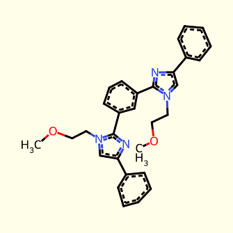 COCCn1cc(-c2ccccc2)nc1-c1cccc(-c2nc(-c3ccccc3)cn2CCOC)c1